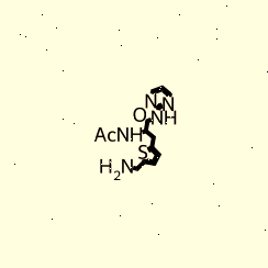 CC(=O)NC(Cc1ccc(CN)s1)C(=O)Nc1ncccn1